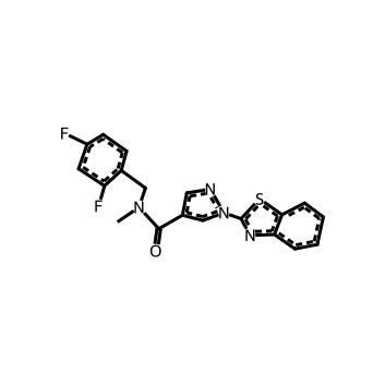 CN(Cc1ccc(F)cc1F)C(=O)c1cnn(-c2nc3ccccc3s2)c1